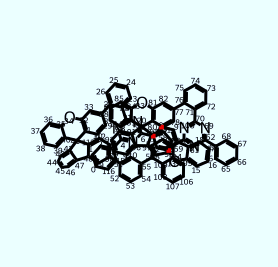 c1ccc(-c2nc(-c3ccc4c(c3)oc3ccccc34)nc(-c3ccccc3-c3ccc4c(c3)Oc3ccccc3C43c4ccccc4-c4cc(-c5cccc(-c6ccc(-c7nc(-c8ccccc8)nc(-c8ccccc8-c8ccc9c(c8)Oc8ccccc8C98c9ccccc9-c9ccccc98)n7)c7ccccc67)c5)ccc43)n2)cc1